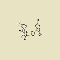 N#Cc1cc2cc(F)ccc2n1-c1ccc(CNC(=O)C2(NC(=O)c3cncc(C(F)(F)F)c3)CC2)cc1